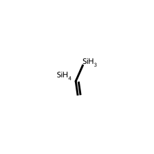 C=C[SiH3].[SiH4]